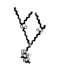 CC/C=N\c1c(C)nc(NCCCN(CCCCCCCC(=O)OC(CC)CCCCCCCC)CCCCCCCC(=O)OC(CCCCCCCC)CCCCCCCC)[nH]c1=O